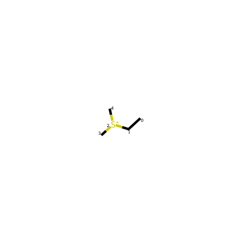 CC[S+](C)C